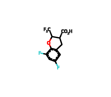 O=C(O)C1Cc2cc(F)cc(F)c2OC1C(F)(F)F